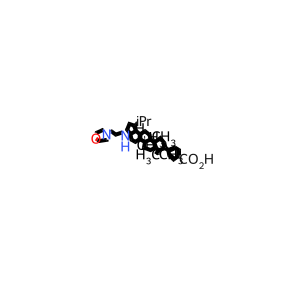 CC(C)[C@@H]1CC[C@]2(NCCCN3CCOCC3)CC[C@]3(C)[C@H](CCC4[C@@]5(C)CC=C(c6ccc(C(=O)O)cc6)C(C)(C)C5CC[C@]43C)C12